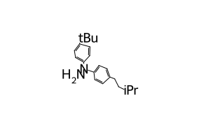 CC(C)CCc1ccc(N(N)c2ccc(C(C)(C)C)cc2)cc1